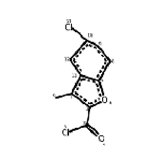 Cc1c(C(=O)Cl)oc2ccc(Cl)cc12